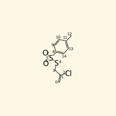 C=C(Cl)CSS(=O)(=O)c1ccc(C)cc1